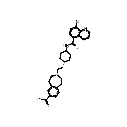 CC(C)C(=O)c1ccc2c(c1)CCN(CC[C@H]1CC[C@H](NC(=O)c3ccc(Cl)c4ncccc34)CC1)CC2